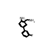 NCc1cc(-c2cccc(F)c2)ccc1N